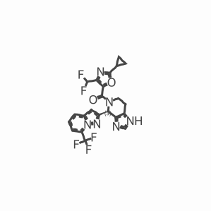 O=C(c1oc(C2CC2)nc1C(F)F)N1CCc2[nH]cnc2[C@H]1c1cc2cccc(C(F)(F)F)n2n1